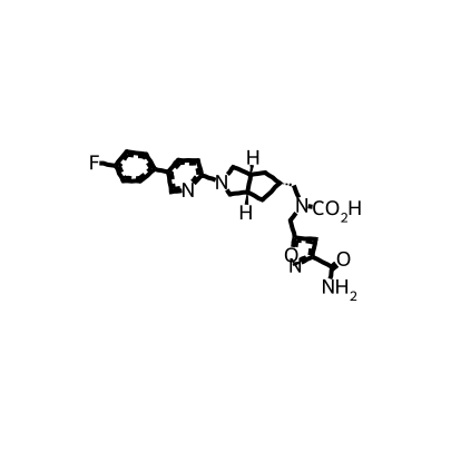 NC(=O)c1cc(CN(C[C@@H]2C[C@@H]3CN(c4ccc(-c5ccc(F)cc5)cn4)C[C@@H]3C2)C(=O)O)on1